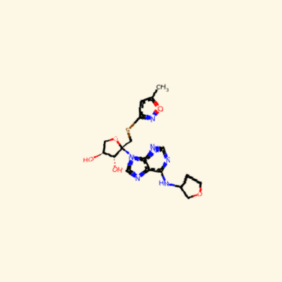 Cc1cc(SC[C@]2(n3cnc4c(NC5CCOC5)ncnc43)OC[C@H](O)[C@H]2O)no1